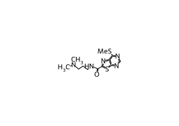 CSc1ncnc2sc(C(=O)NCCCN(C)C)nc12